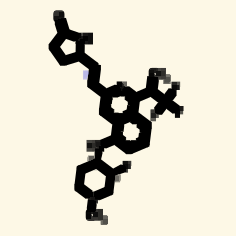 C=C(c1nc(/C=C/C2CCC(=O)N2)cc2c(N[C@@H]3CCN(C)C[C@@H]3F)cccc12)C(F)(F)F